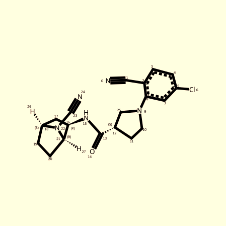 N#Cc1ccc(Cl)cc1N1CC[C@H](C(=O)N[C@@H]2C[C@@H]3CC[C@H]2N3C#N)C1